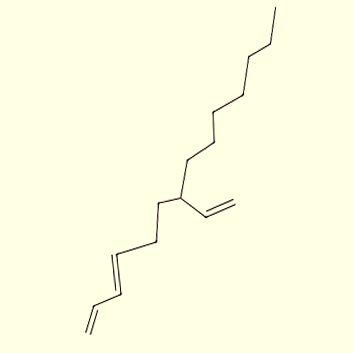 C=CC=CCCC(C=C)CCCCCCC